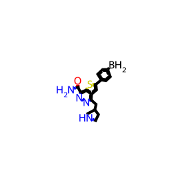 Bc1ccc(-c2cc3c(CC4CCNC4)nnc(C(N)=O)c3s2)cc1